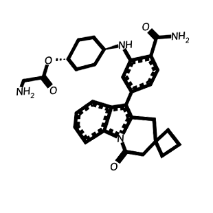 NCC(=O)O[C@H]1CC[C@H](Nc2cc(-c3c4n(c5ccccc35)C(=O)CC3(CCC3)C4)ccc2C(N)=O)CC1